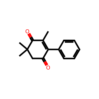 CC1=C(c2ccccc2)C(=O)CC(C)(C)C1=O